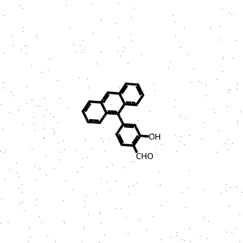 O=Cc1ccc(-c2c3ccccc3cc3ccccc23)cc1O